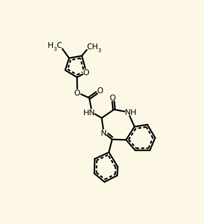 Cc1cc(OC(=O)NC2N=C(c3ccccc3)c3ccccc3NC2=O)oc1C